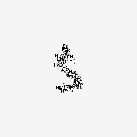 CC(C)[C@@H](C(=O)N1CCC[C@H]1c1nc(-c2ccc(-c3cnc4cc(-c5cnc([C@@H]6CCCN6C(=O)CNC(=O)c6ccc7[nH]cnc7c6)[nH]5)ccc4n3)cc2)c[nH]1)N(C)C(=O)OC(=O)C(F)(F)F